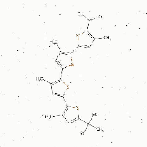 CCC(CC)c1sc(-c2sc(-c3sc(-c4sc(C(C)(CC)CC)cc4C)cc3C)cc2C)cc1C